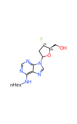 CCCCCCNc1ncnc2c1ncn2C1C[C@H](F)[C@@H](CO)O1